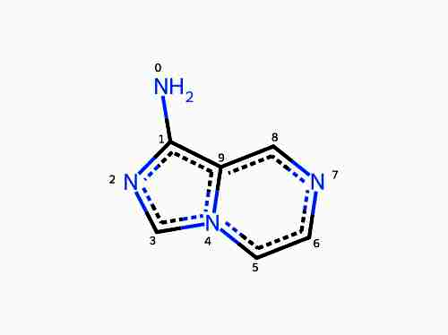 Nc1ncn2ccncc12